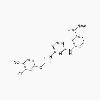 CNC(=O)c1cccc(Nc2ncnc(N3CC(Oc4ccc(C#N)c(Cl)c4)C3)n2)c1